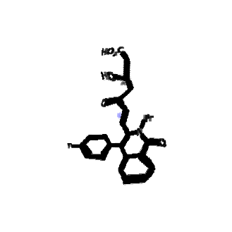 CC(C)n1c(/C=C/C(=O)C[C@@H](O)CC(=O)O)c(-c2ccc(F)cc2)c2ccccc2c1=O